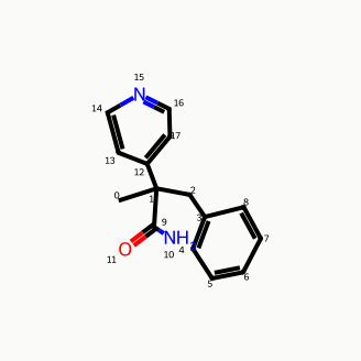 CC(Cc1ccccc1)(C(N)=O)c1ccncc1